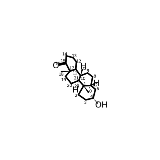 C[C@]12CC[C@@H](O)C[C@H]1CC[C@H]1C3CCCC(=O)[C@@]3(C)CC[C@@H]12